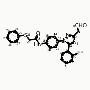 O=CCc1nc(-c2ccccc2F)n(-c2ccc(NC(=O)CSc3ccccc3)cc2)n1